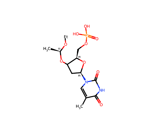 CCO[C@H](C)OC1C[C@H](n2cc(C)c(=O)[nH]c2=O)O[C@@H]1COP(=O)(O)O